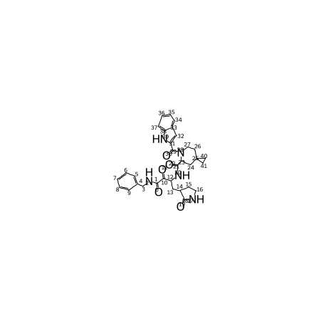 O=C(NCc1ccccc1)C(=O)C(CC1CCNC1=O)NC(=O)C1CC2(CCN1C(=O)c1cc3ccccc3[nH]1)CC2